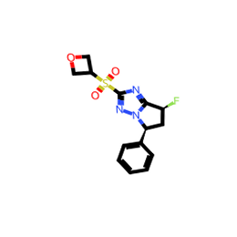 O=S(=O)(c1nc2n(n1)[C@H](c1ccccc1)C[C@@H]2F)C1COC1